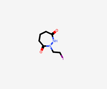 O=C1CCCC(=O)N(CCI)N1